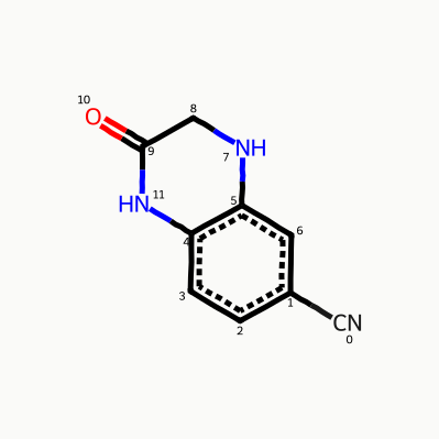 N#Cc1ccc2c(c1)NCC(=O)N2